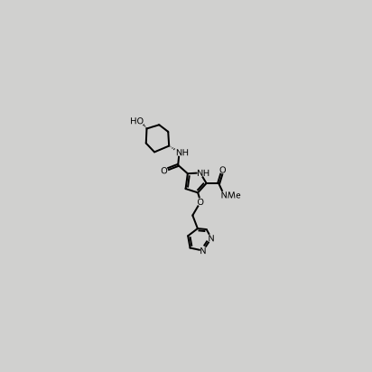 CNC(=O)c1[nH]c(C(=O)N[C@H]2CC[C@@H](O)CC2)cc1OCc1ccnnc1